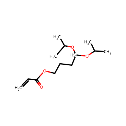 C=CC(=O)OCCC[SiH](OC(C)C)OC(C)C